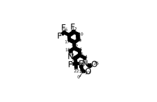 C[C@@H]1CN(Cc2cc(-c3ccc(F)c(C(F)F)c3)cnc2C(C)(F)F)C(=O)O1